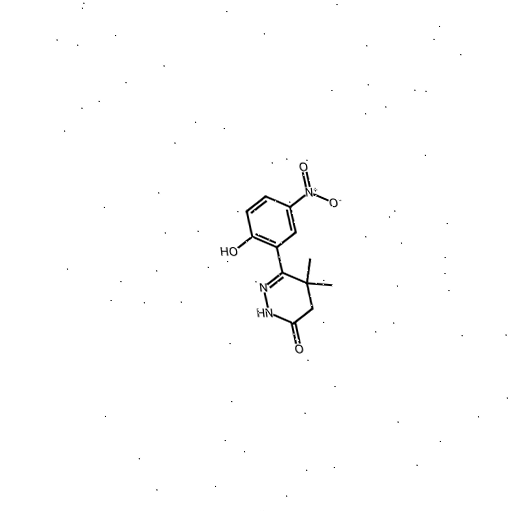 CC1(C)CC(=O)NN=C1c1cc([N+](=O)[O-])ccc1O